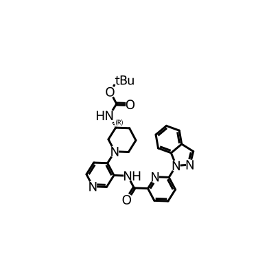 CC(C)(C)OC(=O)N[C@@H]1CCCN(c2ccncc2NC(=O)c2cccc(-n3ncc4ccccc43)n2)C1